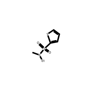 CCN(C)S(=O)(=O)c1cccs1